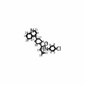 O=C(Nc1ccc(Cl)cc1)C(CC1CC1)C1CCC(c2ccnc3ccccc23)CC1